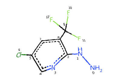 NNc1ncc(Cl)cc1C(F)(F)F